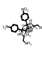 CC(C)(O)C(NCCN)(SC(NCCN)(c1ccc([N+](=O)[O-])cc1)C(C)(C)O)c1ccc([N+](=O)[O-])cc1